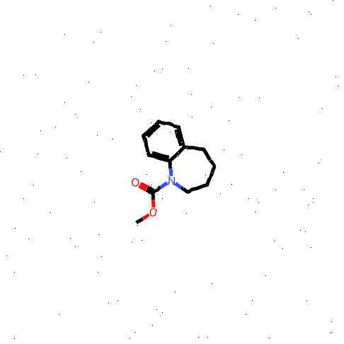 COC(=O)N1CCCCc2ccccc21